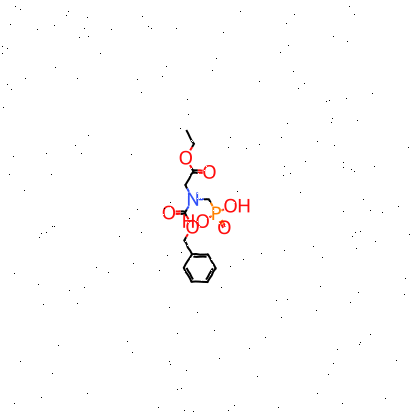 CCOC(=O)CN(CP(=O)(O)O)C(=O)OCc1ccccc1